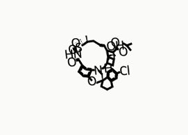 C[C@H](C(=O)OC(C)(C)C)[C@@]1(O)/C=C/C[C@H](C)[C@@H](C)S(=O)(=O)NC(=O)c2ccc3c(c2)N(C[C@@H]2CC[C@H]21)C[C@@]1(CCCc2cc(Cl)ccc21)CO3